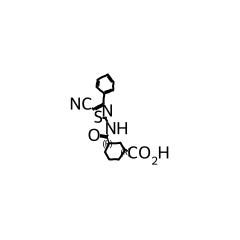 N#Cc1sc(NC(=O)[C@@H]2CCC[C@@H](C(=O)O)C2)nc1-c1ccccc1